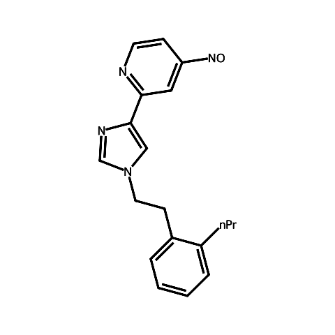 CCCc1ccccc1CCn1cnc(-c2cc(N=O)ccn2)c1